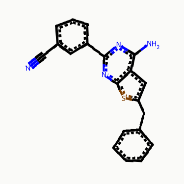 N#Cc1cccc(-c2nc(N)c3cc(Cc4ccccc4)sc3n2)c1